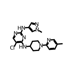 Cc1ccc(N2CCC(Nc3nc(Nc4cnn(C)c4)ncc3Cl)CC2)nc1